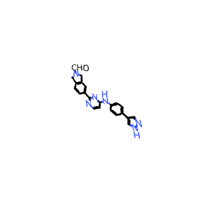 O=CN1Cc2ccc(-c3nccc(Nc4ccc(-c5cn[nH]c5)cc4)n3)cc2C1